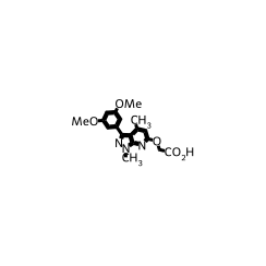 COc1cc(OC)cc(-c2nn(C)c3nc(OCC(=O)O)cc(C)c23)c1